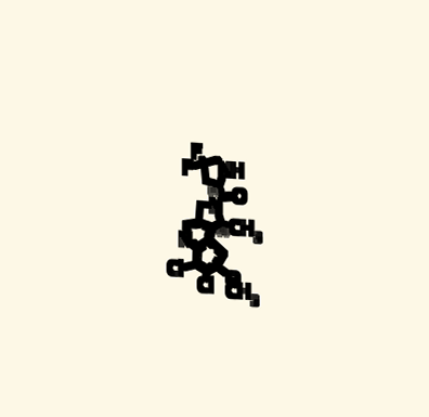 COc1cc2c3c(cnc2c(Cl)c1Cl)CN(C(=O)[C@H]1CC(F)(F)CN1)[C@H]3C